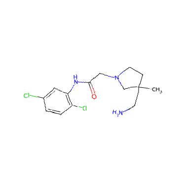 CC1(CN)CCN(CC(=O)Nc2cc(Cl)ccc2Cl)C1